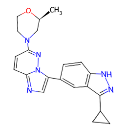 C[C@H]1CN(c2ccc3ncc(-c4ccc5[nH]nc(C6CC6)c5c4)n3n2)CCO1